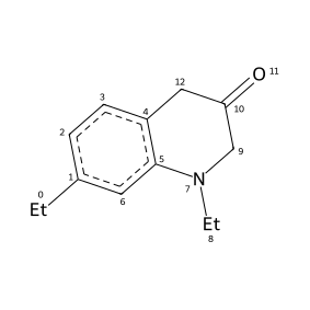 CCc1ccc2c(c1)N(CC)CC(=O)C2